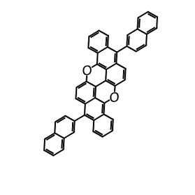 c1ccc2cc(-c3c4ccccc4c4oc5ccc6c(-c7ccc8ccccc8c7)c7ccccc7c7oc8ccc3c4c8-c5c67)ccc2c1